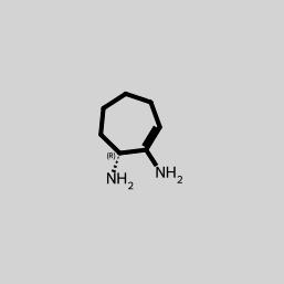 NC1=CCCCC[C@H]1N